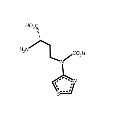 N[C@@H](CCN(C(=O)O)c1cscn1)C(=O)O